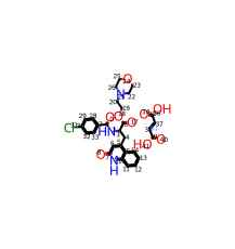 O=C(NC(Cc1cc(=O)[nH]c2ccccc12)C(=O)OCCN1CCOCC1)c1ccc(Cl)cc1.O=C(O)/C=C/C(=O)O